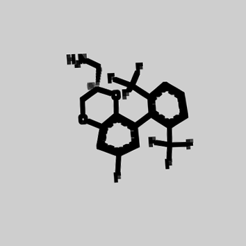 NC[C@H]1COc2cc(F)cc(-c3c(C(F)(F)F)cccc3C(F)(F)F)c2O1